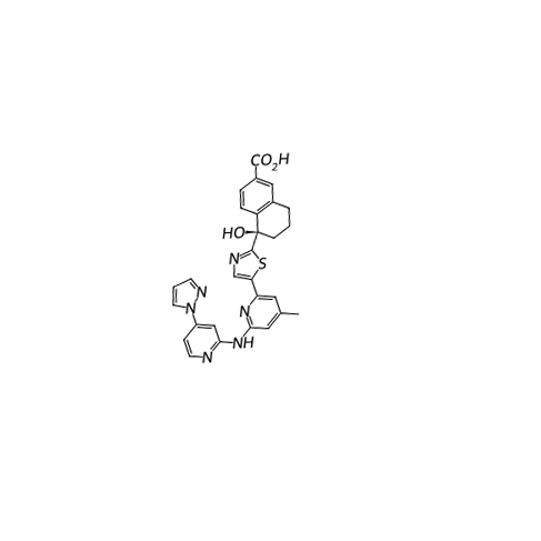 Cc1cc(Nc2cc(-n3cccn3)ccn2)nc(-c2cnc([C@@]3(O)CCCc4cc(C(=O)O)ccc43)s2)c1